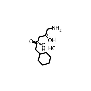 Cl.NC[C@@H](O)CP(=O)(O)CC1CCCCC1